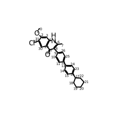 COc1cc2[nH]c(C)c(-c3ccc(-c4ccc(C5CCCCC5)cc4)cc3)c(=O)c2cc1Cl